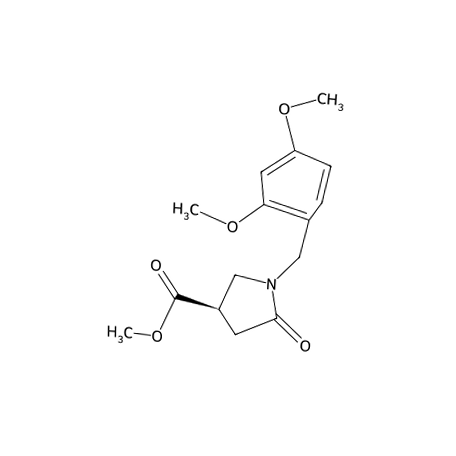 COC(=O)[C@@H]1CC(=O)N(Cc2ccc(OC)cc2OC)C1